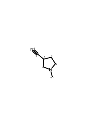 [CH2]N1CCC(C#N)C1